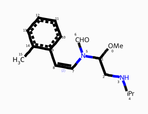 COC(CNC(C)C)N(C=O)/C=C\c1ccccc1C